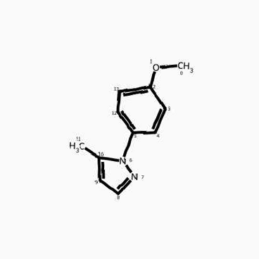 COc1ccc(-n2nc[c]c2C)cc1